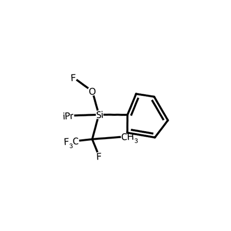 CC(C)[Si](OF)(c1ccccc1)C(C)(F)C(F)(F)F